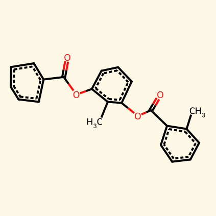 Cc1ccccc1C(=O)Oc1cccc(OC(=O)c2ccccc2)c1C